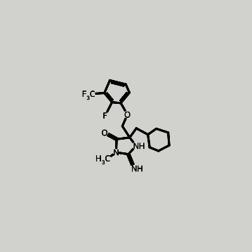 CN1C(=N)NC(COc2cccc(C(F)(F)F)c2F)(CC2CCCCC2)C1=O